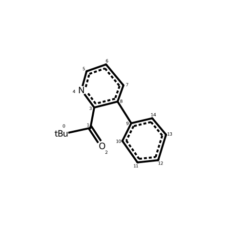 CC(C)(C)C(=O)c1ncccc1-c1ccccc1